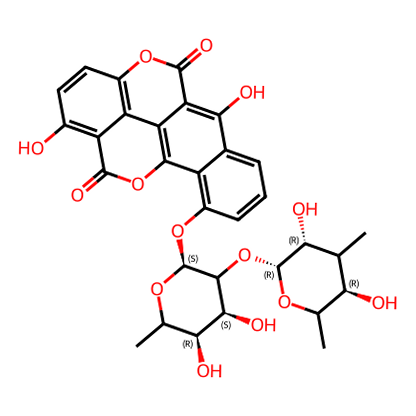 CC1O[C@H](OC2[C@H](Oc3cccc4c(O)c5c(=O)oc6ccc(O)c7c(=O)oc(c34)c5c67)OC(C)[C@H](O)[C@@H]2O)[C@H](O)C(C)[C@H]1O